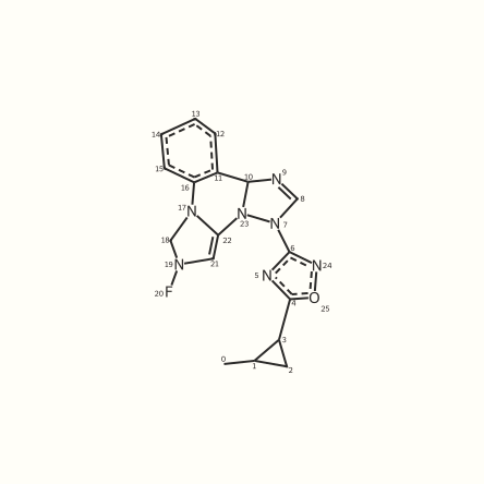 CC1CC1c1nc(N2C=NC3c4ccccc4N4CN(F)C=C4N32)no1